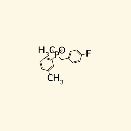 Cc1cccc(P(C)(=O)Cc2ccc(F)cc2)c1